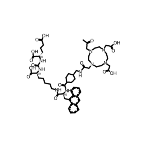 CC(=O)CN1CCN(CC(=O)O)CCN(CC(=O)O)CCN(CC(=O)NCC2CCC(C(=O)N[C@@H](Cc3c4ccccc4cc4ccccc34)C(=O)NCCCCC[C@H](NC(=O)N[C@@H](CCCC(=O)O)C(=O)O)C(=O)O)CC2)CC1